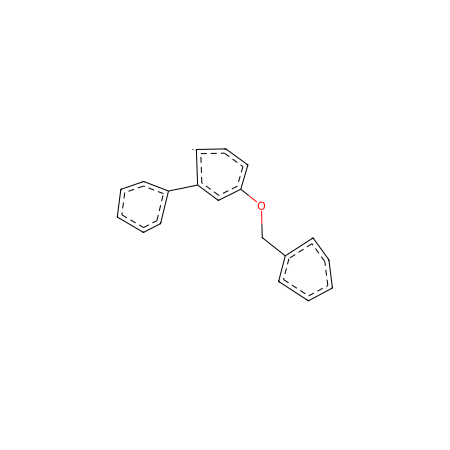 [c]1ccc(OCc2ccccc2)cc1-c1ccccc1